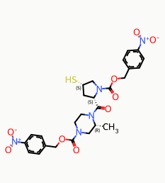 C[C@@H]1CN(C(=O)OCc2ccc([N+](=O)[O-])cc2)CCN1C(=O)[C@@H]1C[C@H](S)CN1C(=O)OCc1ccc([N+](=O)[O-])cc1